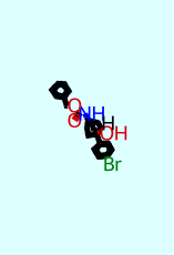 O=C(NC12CCC(c3ccc(Br)cc3)(CC1)[C@@H](O)C2)OCc1ccccc1